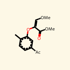 COC=C(Oc1cc(C(C)=O)ccc1C)C(=O)OC